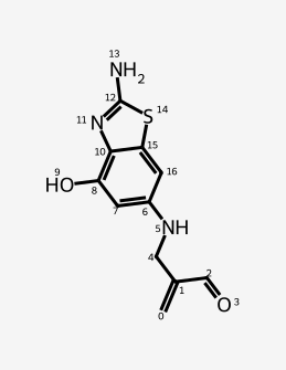 C=C(C=O)CNc1cc(O)c2nc(N)sc2c1